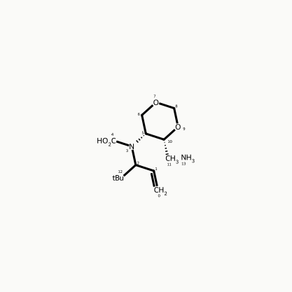 C=CC(N(C(=O)O)[C@@H]1COCO[C@@H]1C)C(C)(C)C.N